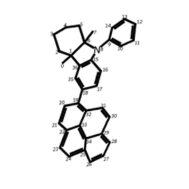 CC12CCCCC1(C)N(c1ccccc1)c1ccc(-c3ccc4ccc5cccc6ccc3c4c56)cc12